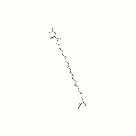 CN(C)CC(=O)NCCOCCOCCOCCOCCOCCOCCC(=O)OF